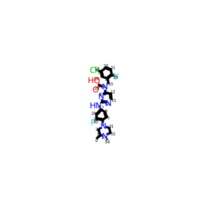 CC1CN(c2ccc(Nc3nccc(N(Cc4cc(Cl)ccc4F)C(=O)O)n3)cc2F)CCN1C